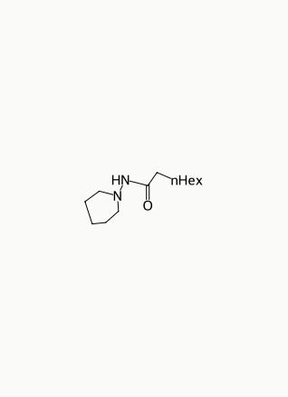 CCCCCCCC(=O)NN1CCCCC1